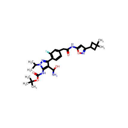 CC(C)n1nc(-c2ccc(CC(=O)Nc3cc(C4CC(C)(C)C4)no3)cc2F)c(C(N)O)c1NC(=O)OC(C)(C)C